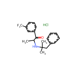 CC(NC(C)(C)Cc1ccccc1)C(=O)c1cccc(C(F)(F)F)c1.Cl